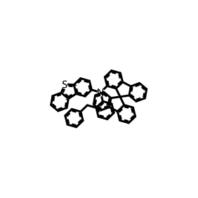 c1ccc(Cc2ccccc2N(c2ccc3sc4ccccc4c3c2)c2cccc3c2C2(c4ccccc4-c4ccccc42)c2ccccc2-3)cc1